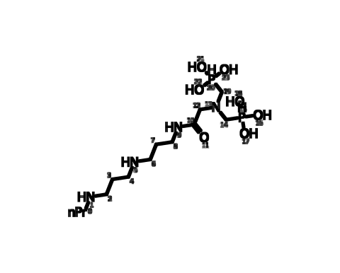 CCCNCCCNCCCNC(=O)CN(C[PH](O)(O)O)C[PH](O)(O)O